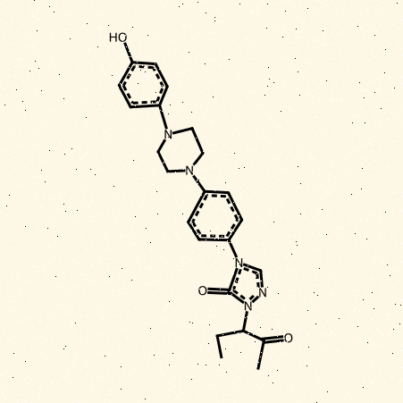 CCC(C(C)=O)n1ncn(-c2ccc(N3CCN(c4ccc(O)cc4)CC3)cc2)c1=O